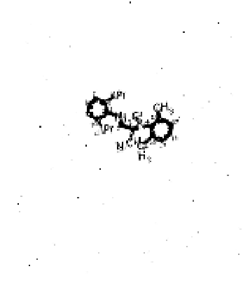 CC(C=Nc1c(C(C)C)cccc1C(C)C)=[N+](C)c1c(C)cccc1C.[Ni]